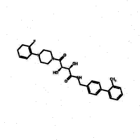 Cc1ccccc1-c1ccc(CNC(=O)[C@H](O)[C@@H](O)C(=O)N2CCN(C3=C(F)CCC=C3)CC2)cc1